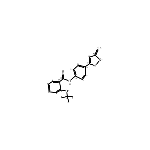 CC(C)(C)Oc1ccccc1C(=O)Oc1ccc(-c2cc(=S)ss2)cc1